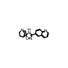 c1cnc2ccc(C3=NOC4(CN5CCC4CC5)N3)cc2c1